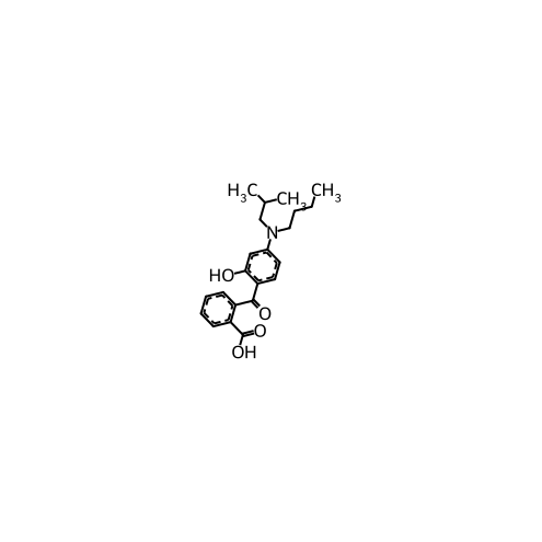 CCCCN(CC(C)C)c1ccc(C(=O)c2ccccc2C(=O)O)c(O)c1